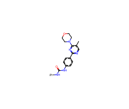 Cc1cnc(-c2ccc(NC(=O)NC(C)C)cc2)nc1N1CCOCC1